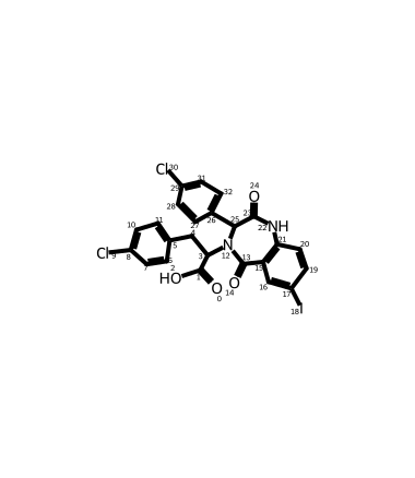 O=C(O)C(Cc1ccc(Cl)cc1)N1C(=O)c2cc(I)ccc2NC(=O)C1c1ccc(Cl)cc1